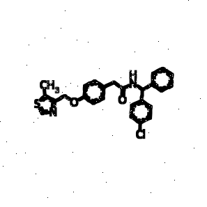 Cc1scnc1COc1ccc(CC(=O)NC(c2ccccc2)c2ccc(Cl)cc2)cc1